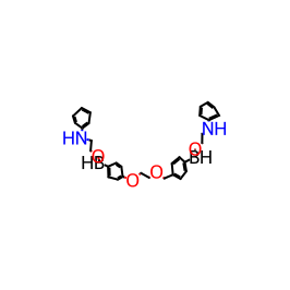 B(OCCNc1ccccc1)c1ccc(COCCOc2ccc(BOCCNc3ccccc3)cc2)cc1